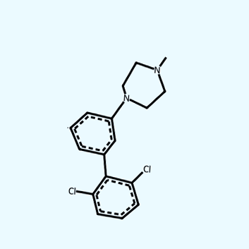 CN1CCN(c2c[c]cc(-c3c(Cl)cccc3Cl)c2)CC1